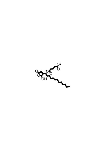 CCCCCCCCCCCCC(OC(=O)CCCC(=O)OC)C1=CC(=O)OC1O